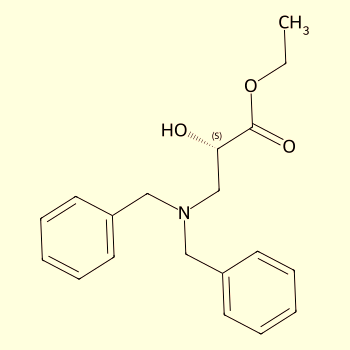 CCOC(=O)[C@@H](O)CN(Cc1ccccc1)Cc1ccccc1